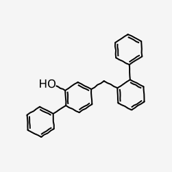 Oc1cc(Cc2ccccc2-c2ccccc2)ccc1-c1ccccc1